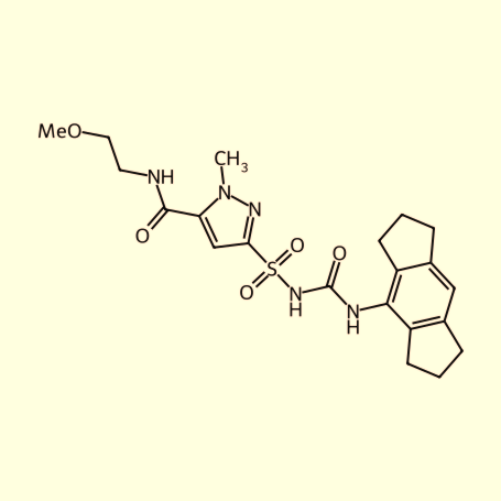 COCCNC(=O)c1cc(S(=O)(=O)NC(=O)Nc2c3c(cc4c2CCC4)CCC3)nn1C